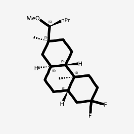 CCC[C@H](OC)[C@@]1(C)CC[C@H]2[C@@H](CC[C@H]3CC(F)(F)CC[C@@]32C)C1